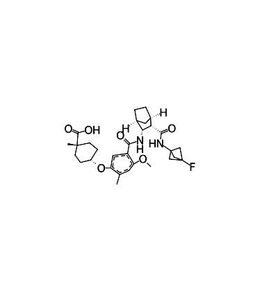 COc1cc(C)c(O[C@H]2CC[C@@](C)(C(=O)O)CC2)cc1C(=O)N[C@@H]1[C@H]2CC[C@H](C2)[C@@H]1C(=O)NC12CC(F)(C1)C2